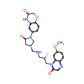 COc1ccc2ncc(=O)n(CC(F)CNC[C@H]3CC(=O)N(c4ccc5c(c4)NC(=O)CO5)C3)c2c1